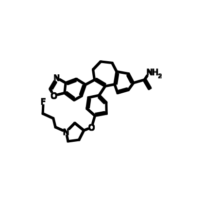 C=C(N)c1ccc2c(c1)CCCC(c1ccc3ocnc3c1)=C2c1ccc(OC2CCN(CCCF)C2)cc1